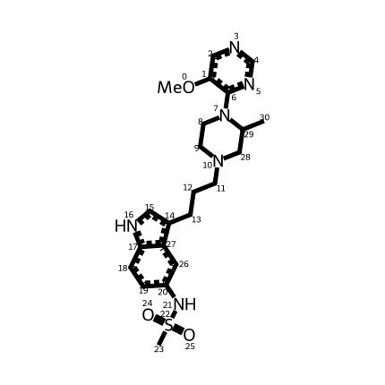 COc1cncnc1N1CCN(CCCc2c[nH]c3ccc(NS(C)(=O)=O)cc23)CC1C